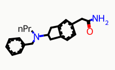 CCCN(Cc1ccccc1)C1Cc2ccc(CC(N)=O)cc2C1